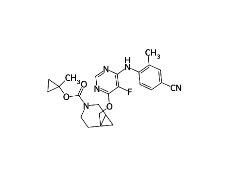 Cc1cc(C#N)ccc1Nc1ncnc(OCC23CCN(C(=O)OC4(C)CC4)CC2C3)c1F